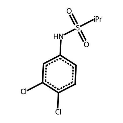 CC(C)S(=O)(=O)Nc1ccc(Cl)c(Cl)c1